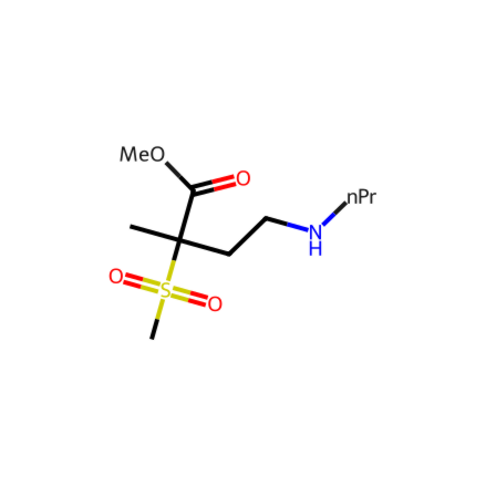 CCCNCCC(C)(C(=O)OC)S(C)(=O)=O